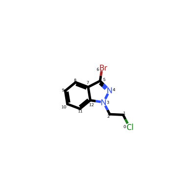 ClCCn1nc(Br)c2ccccc21